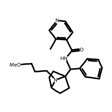 COCCCN1C2CCC1(C(NC(=O)c1ccncc1C)c1ccccc1)CC2